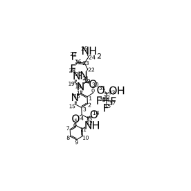 Cc1cc(C2Oc3ccccc3NC2=O)cnc1-n1cnn(CC(CN)=C(F)F)c1=O.O=C(O)C(F)(F)F